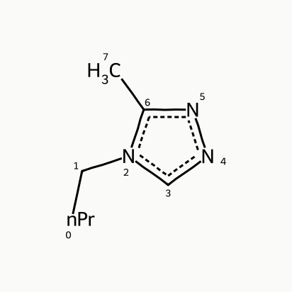 CCCCn1cnnc1C